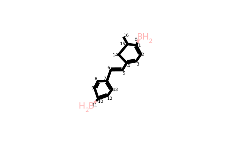 BC1=CC=C(C=Cc2ccc(B)cc2)CC1C